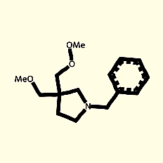 COCC1(COOC)CCN(Cc2ccccc2)C1